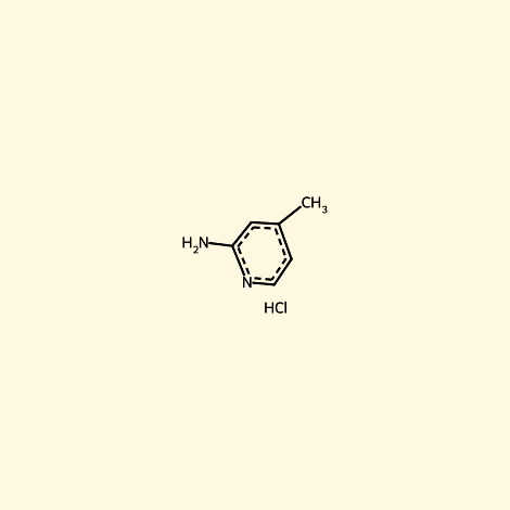 Cc1ccnc(N)c1.Cl